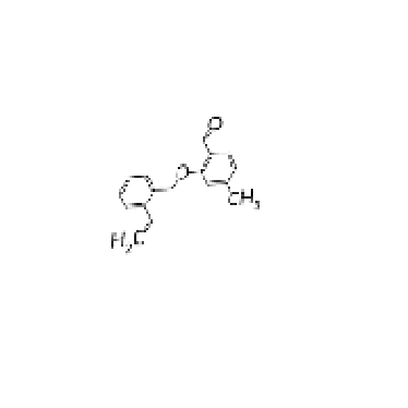 C=Cc1ccccc1COc1cc(C)ccc1C=O